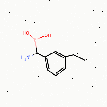 CCc1cccc([C@H](N)B(O)O)c1